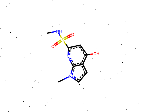 CNS(=O)(=O)c1cc(O)c2ccn(C)c2n1